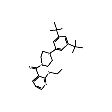 CCSc1ncccc1C(=O)N1CCN(c2cc(C(C)(C)C)cc(C(C)(C)C)c2)CC1